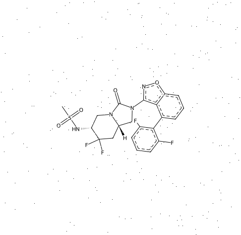 CS(=O)(=O)N[C@@H]1CN2C(=O)N(c3noc4cccc(-c5c(F)cccc5F)c34)C[C@@H]2CC1(F)F